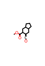 COC(=O)C1CC2CCCC2CC1=C=O